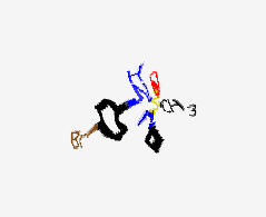 CS(=O)(=NC1CC1)Nc1ccc(Br)cc1